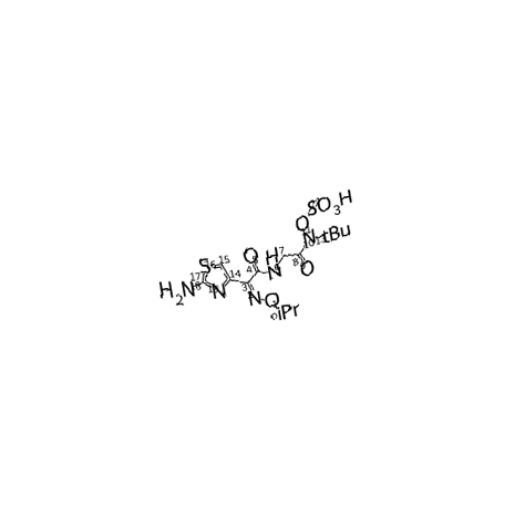 CC(C)O/N=C(\C(=O)NCC(=O)N(OS(=O)(=O)O)C(C)(C)C)c1csc(N)n1